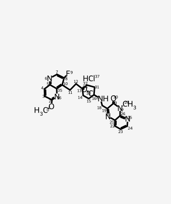 COc1ccc2ncc(F)c(CCC34CCC(NCc5nc6cccnc6n(C)c5=O)(CC3)CO4)c2n1.Cl